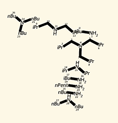 CC(C)(C)N.CC(C)CN(CC(C)C)CC(C)C.CC(C)CNCC(C)C.CC(C)NC(C)C.CCC(C)N.CCCCCN.CCCCN.CCCCN(CCCC)CCCC.CCCCNCCCC